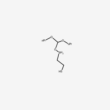 CCCOC(OCCC)O[SiH2]CCS